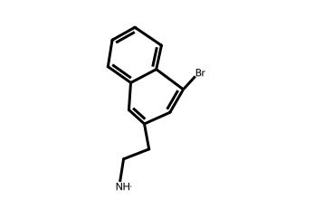 [NH]CCc1cc(Br)c2ccccc2c1